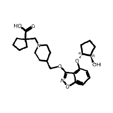 O=C(O)C1(CN2CCC(COc3noc4cccc(O[C@@H]5CCC[C@H]5O)c34)CC2)CCCC1